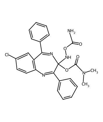 CN(C)C(=O)OC1(NOC(N)=O)N=C(c2ccccc2)c2cc(Cl)ccc2N=C1c1ccccc1